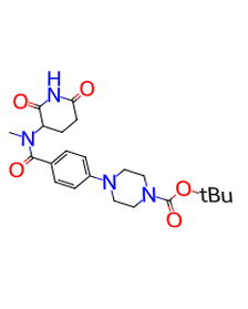 CN(C(=O)c1ccc(N2CCN(C(=O)OC(C)(C)C)CC2)cc1)C1CCC(=O)NC1=O